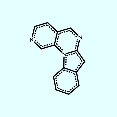 c1ccc2c(c1)cc1ncc3ccncc3n12